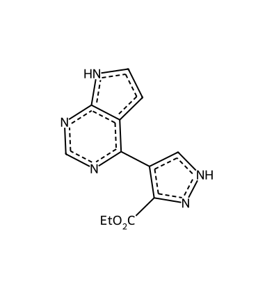 CCOC(=O)c1n[nH]cc1-c1ncnc2[nH]ccc12